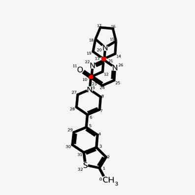 Cc1cc2cc(C3=CCN(C(=O)CN4CC5CCC(C4)N5c4ncccn4)CC3)ccc2s1